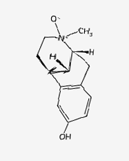 C[N+]1([O-])CC[C@]23CCCC[C@H]2[C@H]1Cc1ccc(O)cc13